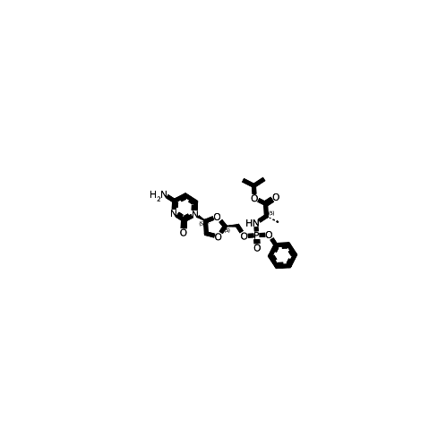 CC(C)OC(=O)[C@H](C)NP(=O)(OC[C@H]1OC[C@@H](n2ccc(N)nc2=O)O1)Oc1ccccc1